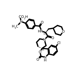 CN(C(=O)O)c1ccc(C(=O)N[C@@H](CC2CCOCC2)C(=O)N2CCC[C@@]3(C2)OC(=O)Nc2ccc(Cl)cc23)cc1